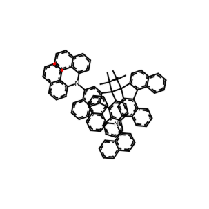 CC(C)(C)C1(C2(C(C)(C)C)c3ccc4ccccc4c3-c3c2cc(N(c2cccc4ccccc24)c2cccc4ccccc24)c2ccccc32)c2ccc3ccccc3c2-c2c1cc(N(c1cccc3ccccc13)c1cccc3ccccc13)c1ccccc21